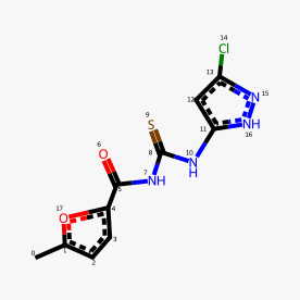 Cc1ccc(C(=O)NC(=S)Nc2cc(Cl)n[nH]2)o1